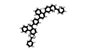 c1ccc(-c2nc3c(ccc4c(-c5ccc(-c6ccc(-c7ccc8ccc(-c9ccccn9)nc8c7)c7ccccc67)cc5)nc5ccccc5c43)o2)cc1